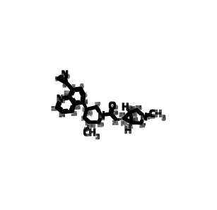 C[C@@H]1C[C@@H](c2ccc(C3C=N3)c3ncccc23)CN(C(=O)C[C@@H]2[C@H]3CN(C)C[C@@H]23)C1